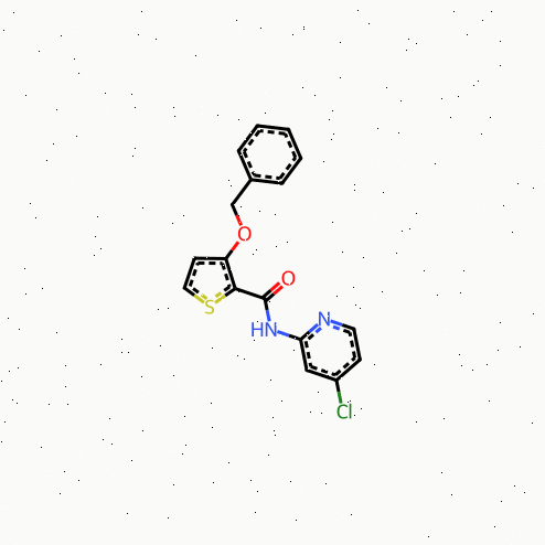 O=C(Nc1cc(Cl)ccn1)c1sccc1OCc1ccccc1